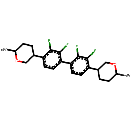 CCCC1CCC(c2ccc(-c3ccc(C4CCC(CCC)OC4)c(F)c3F)c(F)c2F)CO1